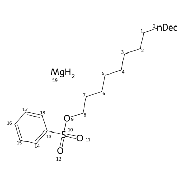 CCCCCCCCCCCCCCCCCCOS(=O)(=O)c1ccccc1.[MgH2]